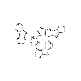 c1ccc(-c2nc(-c3cccc4c3oc3ccccc34)nc(-c3cccc4oc5ccc(-c6cccc7c6oc6ccccc67)cc5c34)n2)cc1